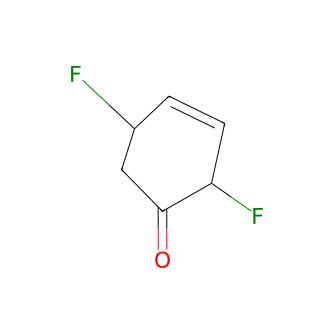 O=C1CC(F)C=CC1F